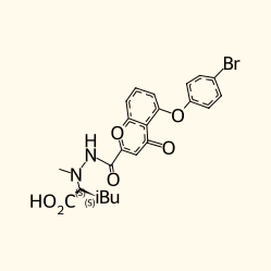 CC[C@H](C)[C@@H](C(=O)O)N(C)NC(=O)c1cc(=O)c2c(Oc3ccc(Br)cc3)cccc2o1